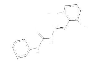 C[n+]1cccc(O)c1C=NNC(=O)Nc1ccccc1